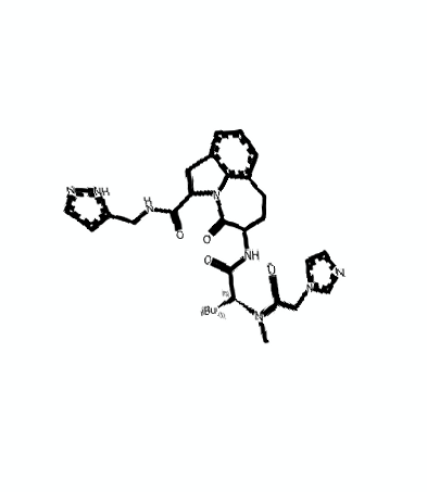 CC[C@H](C)[C@@H](C(=O)NC1CCc2cccc3c2N(C1=O)C(C(=O)NCc1ccn[nH]1)C3)N(C)C(=O)Cn1ccnc1